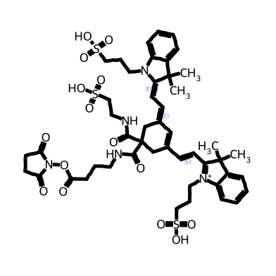 CC1(C)C(/C=C/C2=CC(=C/C=C3/N(CCCS(=O)(=O)O)c4ccccc4C3(C)C)/CC(C(=O)NCCCC(=O)ON3C(=O)CCC3=O)(C(=O)NCCS(=O)(=O)O)C2)=[N+](CCCS(=O)(=O)O)c2ccccc21